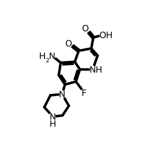 Nc1cc(N2CCNCC2)c(F)c2[nH]cc(C(=O)O)c(=O)c12